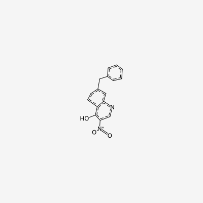 O=[N+]([O-])c1cnc2cc(Cc3ccccc3)ccc2c1O